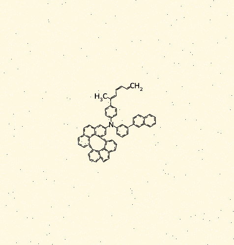 C=C/C=C\C=C(/C)c1ccc(N(c2cccc(-c3ccc4ccccc4c3)c2)c2cc3ccc4cccc5c6cccc7ccc8cccc(c(c2)c3c45)c8c76)cc1